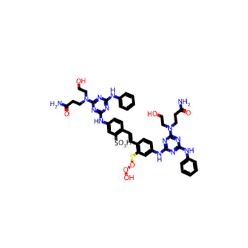 NC(=O)CCN(CCO)c1nc(Nc2ccccc2)nc(Nc2ccc(C=Cc3ccc(Nc4nc(Nc5ccccc5)nc(N(CCO)CCC(N)=O)n4)cc3S(=O)(=O)O)c(SOOO)c2)n1